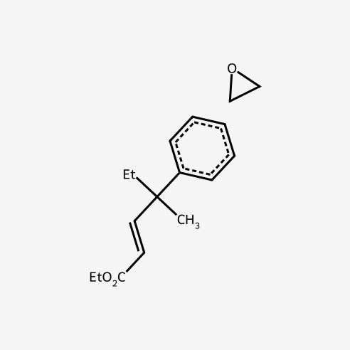 C1CO1.CCOC(=O)C=CC(C)(CC)c1ccccc1